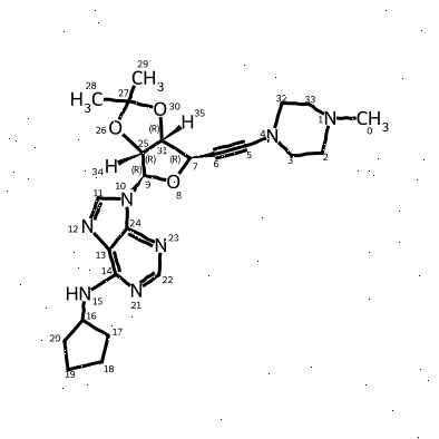 CN1CCN(C#C[C@H]2O[C@@H](n3cnc4c(NC5CCCC5)ncnc43)[C@@H]3OC(C)(C)O[C@@H]32)CC1